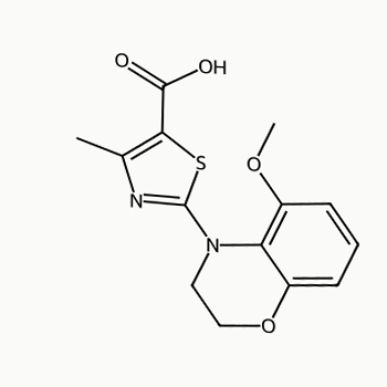 COc1cccc2c1N(c1nc(C)c(C(=O)O)s1)CCO2